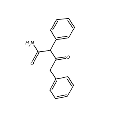 NC(=O)C(C(=O)Cc1ccccc1)c1ccccc1